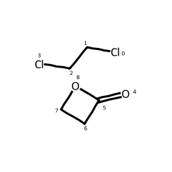 ClCCCl.O=C1CCO1